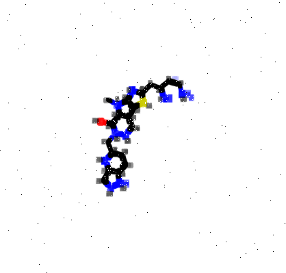 Cn1c2nc(CC(=N)/C=C\N)sc2c2cnn(Cc3ccc4[nH]ncc4n3)c(=O)c21